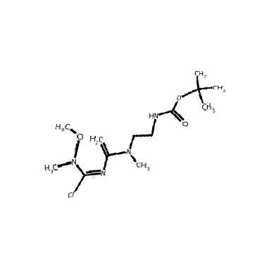 C=C(/N=C(/Cl)N(C)OC)N(C)CCNC(=O)OC(C)(C)C